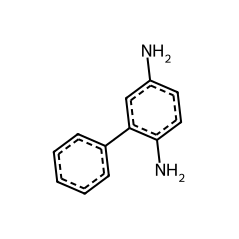 Nc1ccc(N)c(-c2ccccc2)c1